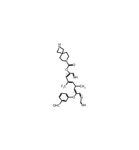 CC(C=C(/C=C(\C=N)OC(=O)N1CCC2(CC1)CNC2)C(F)(F)F)/C=C(\C=N/C=N)Oc1cccc(C=O)c1